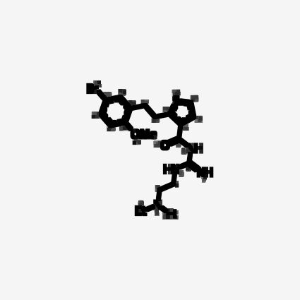 CCN(CC)CCNC(=N)NC(=O)c1ccsc1CCc1cc(Br)ccc1OC